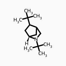 CC(C)(C)C1C[C@@H]2CC1CN2C(C)(C)C